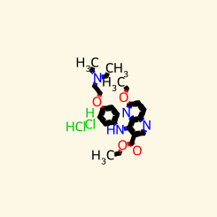 CCOC(=O)c1cnc2ccc(OCC)nc2c1Nc1ccc(OCCN(CC)CC)cc1.Cl.Cl